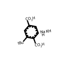 CC(C)(C)c1cc(C(=O)O)ccc1C(=O)O.[KH].[NaH]